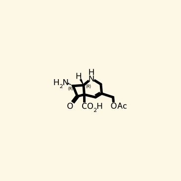 CC(=O)OCC1=CC2(C(=O)O)C(=O)[C@H](N)[C@@H]2NC1